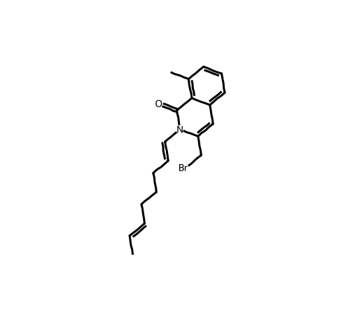 C/C=C/CCC/C=C/n1c(CBr)cc2cccc(C)c2c1=O